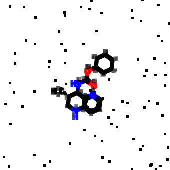 C[C@H]1CNc2cccnc2[C@@H]1NC(=O)OC1CCCCC1